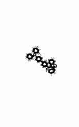 C1=CC2CC=C1c1oc3ccccc3c1/C(c1ccc(-c3ccc(P(c4ccccc4)c4ccccc4)cc3)cc1)=N\2